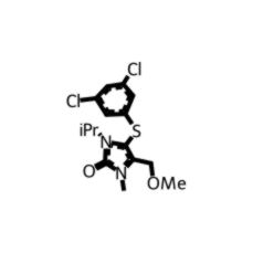 COCc1c(Sc2cc(Cl)cc(Cl)c2)n(C(C)C)c(=O)n1C